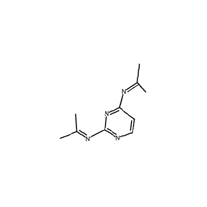 CC(C)=Nc1ccnc(N=C(C)C)n1